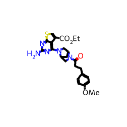 CCOC(=O)c1csc2nc(N)nc(N3CC4CC3CN4C(=O)CCc3ccc(OC)cc3)c12